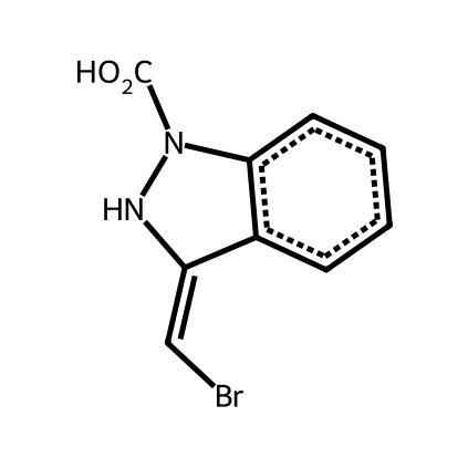 O=C(O)N1N/C(=C/Br)c2ccccc21